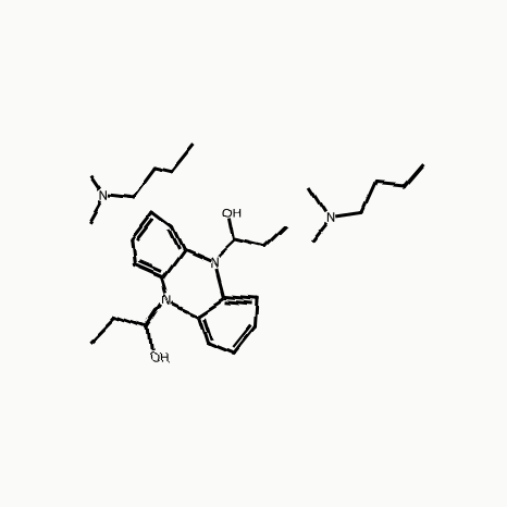 CCC(O)N1c2ccccc2N(C(O)CC)c2ccccc21.CCCCN(C)C.CCCCN(C)C